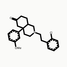 COc1cccc(C23CCN(CCc4ccccc4Cl)CC2CCC(=O)C3)c1